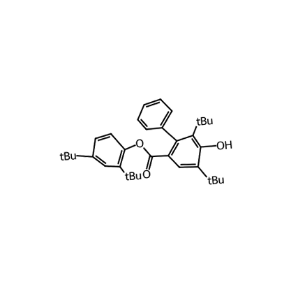 CC(C)(C)c1ccc(OC(=O)c2cc(C(C)(C)C)c(O)c(C(C)(C)C)c2-c2ccccc2)c(C(C)(C)C)c1